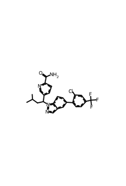 CC(C)CC(c1ccc(C(N)=O)nc1)n1ncc2cc(-c3ccc(C(F)(F)F)cc3Cl)ccc21